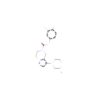 C[C@H]1CN(c2cnn3c2CN(C(=O)Nc2ccc(F)c(Cl)c2)[C@@H](C)C3)C[C@H](C)O1